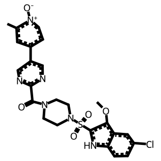 COc1c(S(=O)(=O)N2CCN(C(=O)c3ncc(-c4cc[n+]([O-])c(C)c4)cn3)CC2)[nH]c2ccc(Cl)cc12